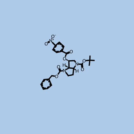 CC(C)(C)OC(=O)N1C[C@H](OC(=O)c2ccc([N+](=O)[O-])cc2)[C@@H]2[C@H]1CCN2C(=O)OCc1ccccc1